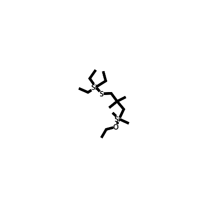 CCO[Si](C)(C)CC(C)(C)CS[Si](CC)(CC)CC